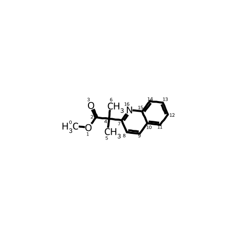 COC(=O)C(C)(C)c1ccc2ccccc2n1